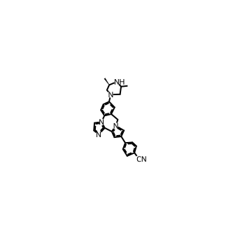 CC1CN(c2ccc3c(c2)Cn2cc(-c4ccc(C#N)cc4)cc2-c2nccn2-3)C[C@@H](C)N1